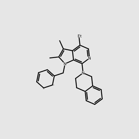 CCc1cnc(N2CCc3ccccc3C2)c2c1c(C)c(C)n2CC1=CC=C[C][C]1